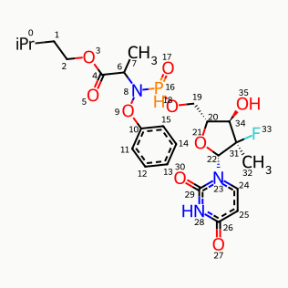 CC(C)CCOC(=O)C(C)N(Oc1ccccc1)[PH](=O)OC[C@H]1O[C@@H](n2ccc(=O)[nH]c2=O)[C@](C)(F)[C@@H]1O